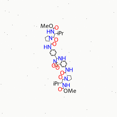 COC(=O)N[C@H](C(=O)N1CCC[C@H]1C(=O)Nc1ccc(C2=NS(=O)(=O)c3cc(NC(=O)[C@@H]4CCCN4C(=O)[C@@H](NC(=O)OC)C(C)C)ccc3N2)cc1)C(C)C